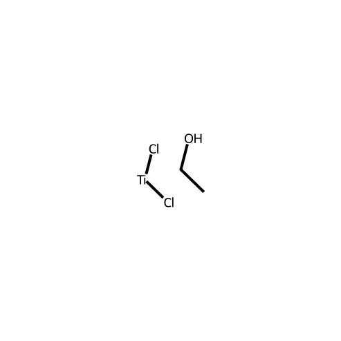 CCO.[Cl][Ti][Cl]